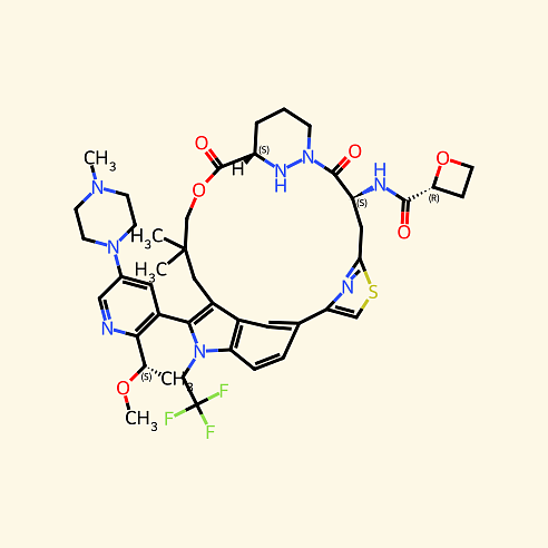 CO[C@@H](C)c1ncc(N2CCN(C)CC2)cc1-c1c2c3cc(ccc3n1CC(F)(F)F)-c1csc(n1)C[C@H](NC(=O)[C@H]1CCO1)C(=O)N1CCC[C@H](N1)C(=O)OCC(C)(C)C2